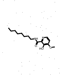 CCCCCCCCNC(=O)c1nccc(OC)c1O